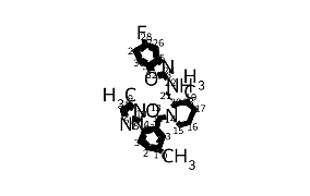 Cc1ccc(-n2ncc(C)n2)c(C(=O)N2CCC[C@@H](C)[C@H]2CNc2nc3cc(F)ccc3o2)c1